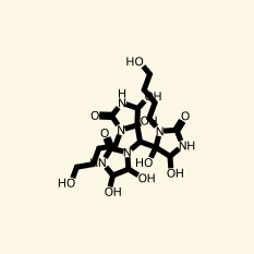 O=C1NC(O)C(O)N1C(C1(O)C(O)NC(=O)N1CCCCO)C1(O)C(O)NC(=O)N1CCCCO